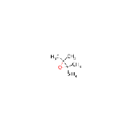 CC1(C)OC1(C)[SiH3]